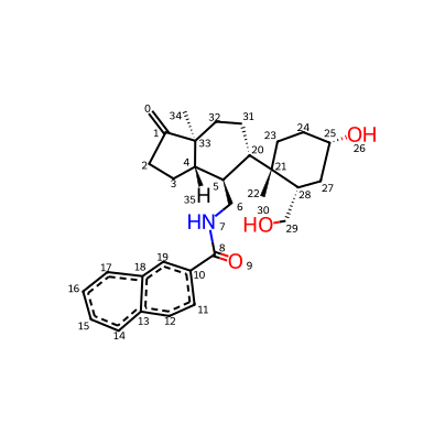 C=C1CC[C@H]2[C@H](CNC(=O)c3ccc4ccccc4c3)[C@@H]([C@]3(C)CC[C@H](O)C[C@@H]3CO)CC[C@]12C